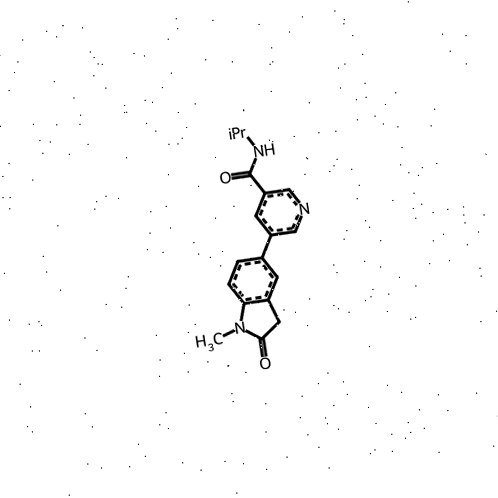 CC(C)NC(=O)c1cncc(-c2ccc3c(c2)CC(=O)N3C)c1